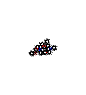 c1ccc(-c2ccc(-c3ccccc3N(c3ccccc3-c3cccc4c3oc3ccccc34)c3cccc4c3-c3ccccc3C43c4ccccc4N(c4ccccc4)c4ccccc43)cc2)cc1